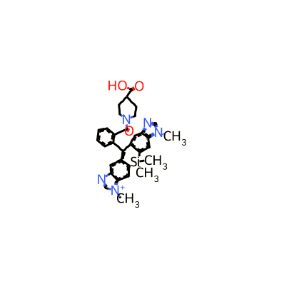 Cn1cnc2cc3c(cc21)[Si](C)(C)c1cc2c(cc1=C3c1ccccc1C(=O)N1CCC(C(=O)O)CC1)N=C[N+]=2C